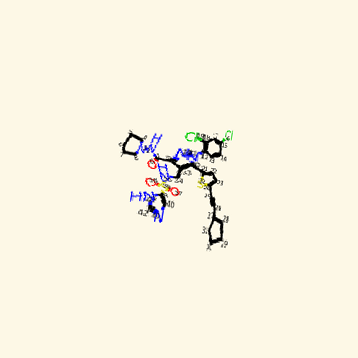 O=C(NN1CCCCC1)c1nn(-c2ccc(Cl)cc2Cl)c(-c2ccc(C#CC3CCCC3)s2)c1CNS(=O)(=O)c1cnc[nH]1